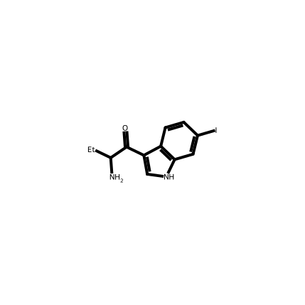 CCC(N)C(=O)c1c[nH]c2cc(I)ccc12